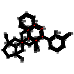 O=c1cccc(-c2nc3ccccc3n([C@@H]3C[C@H]4CC[C@@H](C3)N4[C@@H]3C[C@@H]4CCC[C@@H](C4)C3)c2=O)[nH]1